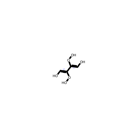 O/C=C(OO)/C(=C/O)OO